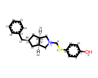 Oc1ccc(SCN2C[C@H]3C[C@@H](Cc4ccccc4)C[C@H]3C2)cc1